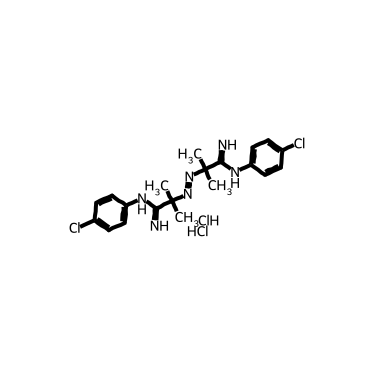 CC(C)(/N=N/C(C)(C)C(=N)Nc1ccc(Cl)cc1)C(=N)Nc1ccc(Cl)cc1.Cl.Cl